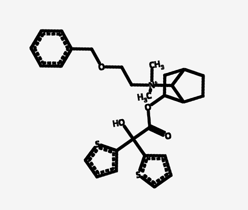 C[N+](C)(CCOCc1ccccc1)C1C2CCC1C(OC(=O)C(O)(c1cccs1)c1cccs1)C2